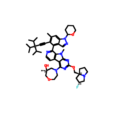 Cc1cc2c(cnn2C2CCCCO2)c(-c2nccc3c4c(N5CCOC[C@@](C)(O)C5)nc(OC[C@@]56CCCN5C[C@H](F)C6)nc4n(C)c23)c1C#C[Si](C(C)C)(C(C)C)C(C)C